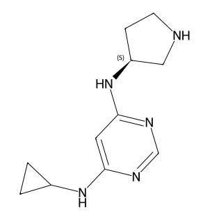 c1nc(NC2CC2)cc(N[C@H]2CCNC2)n1